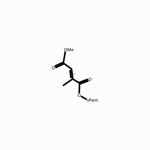 CCCCCOC(=O)/C(C)=C/C(=O)OC